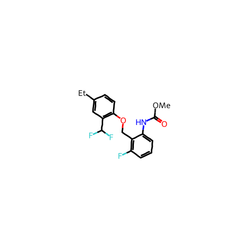 CCc1ccc(OCc2c(F)cccc2NC(=O)OC)c(C(F)F)c1